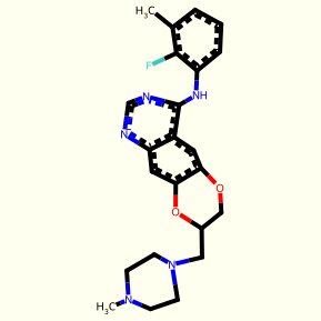 Cc1cccc(Nc2ncnc3cc4c(cc23)OCC(CN2CCN(C)CC2)O4)c1F